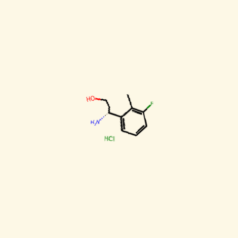 Cc1c(F)cccc1[C@H](N)CO.Cl